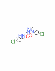 Cc1cc([C@H](C)NC(=O)Cn2nc(C)n(-c3ccc(Cl)cc3)c2=O)ccc1Cl